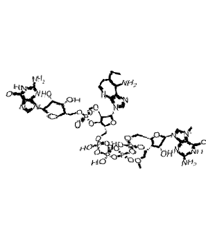 CCC1=C(N)c2ncn([C@@H]3O[C@H](COP(=O)(O)OP(=O)(O)OP(=O)(O)OP(=O)(O)OC[C@H]4O[C@@H](n5c[n+](C)c6c(=O)[nH]c(N)nc65)[C@H](O)[C@@H]4CCOC)[C@@H](OP(=O)([O-])OC[C@H]4O[C@@H](n5cnc6c(=O)[nH]c(N)nc65)[C@H](O)[C@@H]4O)[C@H]3OC)c2N=CC1